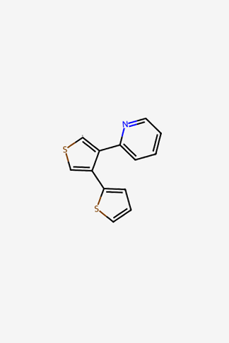 [c]1scc(-c2cccs2)c1-c1ccccn1